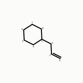 C=CCC1CCCCC1